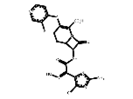 Nc1nc(/C(=N/O)C(=O)NC2C(=O)N3C(C(=O)O)=C(Sc4ccncc4F)CCC23)c(Cl)s1